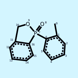 Cc1ccccc1P1(=O)OCc2ccccc21